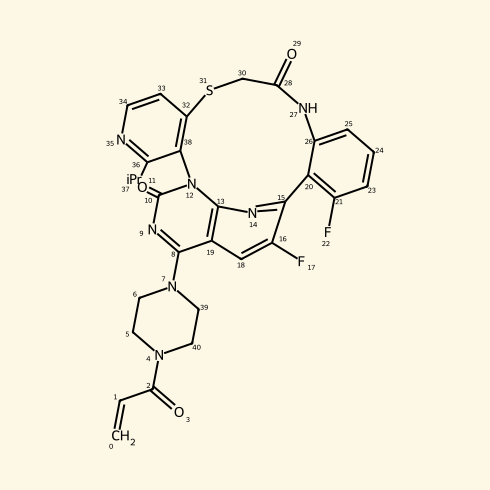 C=CC(=O)N1CCN(c2nc(=O)n3c4nc(c(F)cc24)-c2c(F)cccc2NC(=O)CSc2ccnc(C(C)C)c2-3)CC1